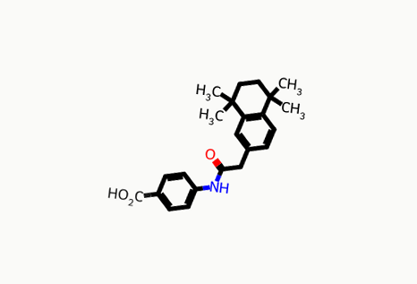 CC1(C)CCC(C)(C)c2cc(CC(=O)Nc3ccc(C(=O)O)cc3)ccc21